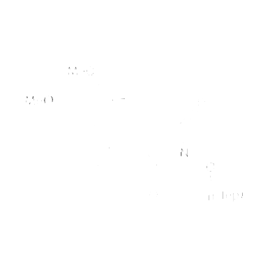 CCCCCCCON1C(=O)c2cc(OC)c3c(OC)cccc3c2C1=O